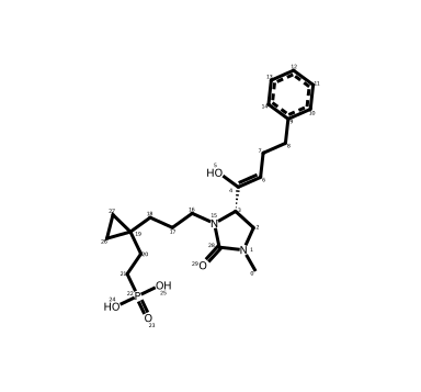 CN1C[C@@H](C(O)=CCCc2ccccc2)N(CCCC2(CCP(=O)(O)O)CC2)C1=O